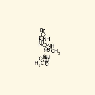 C=CC(=O)Nc1cc2c(Nc3ccc(Br)cc3F)ncnc2cc1OCCCNC(=O)C(C)[SH](=O)=O